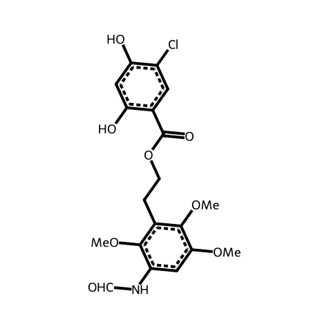 COc1cc(NC=O)c(OC)c(CCOC(=O)c2cc(Cl)c(O)cc2O)c1OC